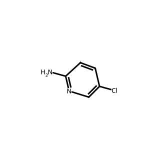 Nc1[c]cc(Cl)cn1